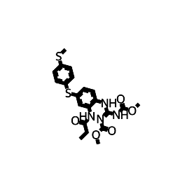 CCC(=O)Nc1cc(Sc2ccc(SC)cc2)ccc1NC(=NC(=O)OC)NC(=O)OC